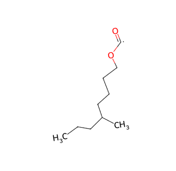 CCCC(C)CCCCO[C]=O